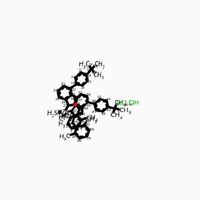 Cc1cccc(C)c1CC1=Cc2c(-c3ccc(C(C)(C)C)cc3)cccc2[CH]1[Zr]([CH3])([CH3])(=[SiH2])[CH]1C(Cc2c(C)cccc2C)=Cc2c(-c3ccc(C(C)(C)C)cc3)cccc21.Cl.Cl